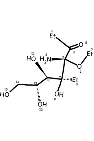 CCO[C@@](N)(C(=O)CC)[C@](O)(CC)[C@H](O)[C@H](O)CO